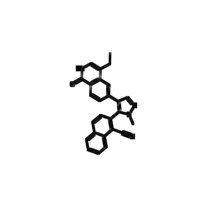 CCc1c[nH]c(=O)c2ccc(-c3cnn(C)c3-c3ccc4ccccc4c3C#N)cc12